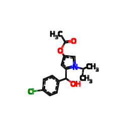 CC(=O)Oc1cc(C(O)c2ccc(Cl)cc2)n(C(C)C)c1